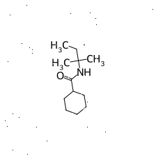 CCC(C)(C)NC(=O)C1CCCCC1